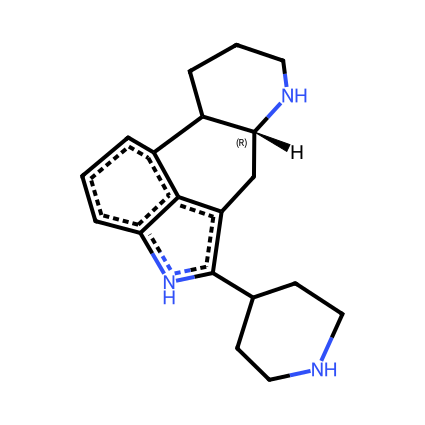 c1cc2c3c(c(C4CCNCC4)[nH]c3c1)C[C@H]1NCCCC21